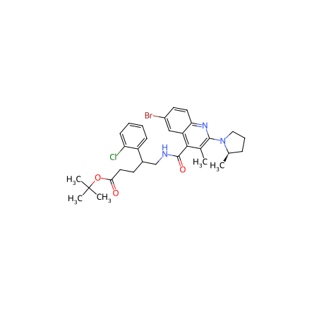 Cc1c(N2CCC[C@H]2C)nc2ccc(Br)cc2c1C(=O)NCC(CCC(=O)OC(C)(C)C)c1ccccc1Cl